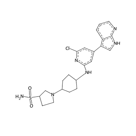 NS(=O)(=O)C1CCN(C2CCC(Nc3cc(-c4c[nH]c5ncccc45)cc(Cl)n3)CC2)C1